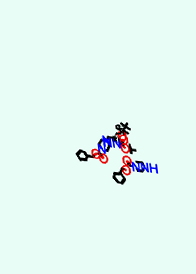 CC(C)(C)OC(=O)N[C@@H](CO[Si](C)(C)C(C)(C)C)CN1CCN(C(=O)OCc2ccccc2)CC1.O=C(OCc1ccccc1)N1CCNCC1